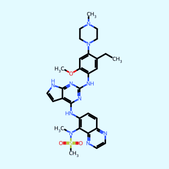 CCc1cc(Nc2nc(Nc3ccc4nccnc4c3N(C)S(C)(=O)=O)c3cc[nH]c3n2)c(OC)cc1N1CCN(C)CC1